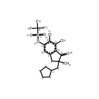 CC1(CC2CCCC2)Cc2cc(OS(=O)(=O)C(F)(F)F)c(Cl)c(Cl)c2C1=O